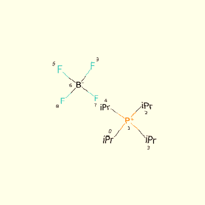 CC(C)[P+](C(C)C)(C(C)C)C(C)C.F[B-](F)(F)F